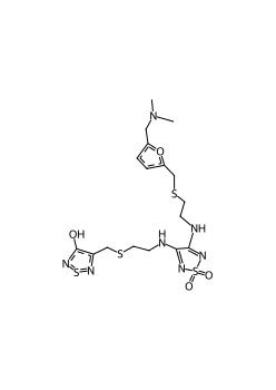 CN(C)Cc1ccc(CSCCNC2=NS(=O)(=O)N=C2NCCSCc2nsnc2O)o1